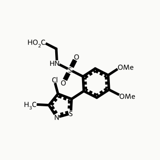 COc1cc(-c2snc(C)c2Cl)c(S(=O)(=O)NCC(=O)O)cc1OC